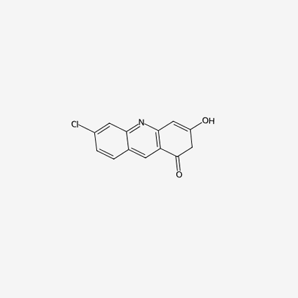 O=C1CC(O)=Cc2nc3cc(Cl)ccc3cc21